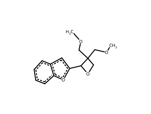 COCC1(COC)COC1c1cc2ccccc2o1